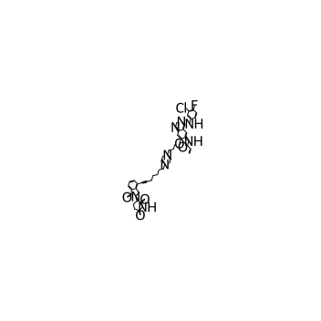 C=CC(=O)Nc1cc2c(Nc3ccc(F)c(Cl)c3)ncnc2cc1OCCCN1CCN(CCCCCC#Cc2cccc3c2CN(C2CCC(=O)NC2=O)C3=O)CC1